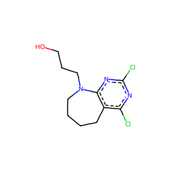 OCCCN1CCCCc2c(Cl)nc(Cl)nc21